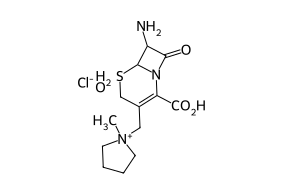 C[N+]1(CC2=C(C(=O)O)N3C(=O)C(N)C3SC2)CCCC1.O.[Cl-]